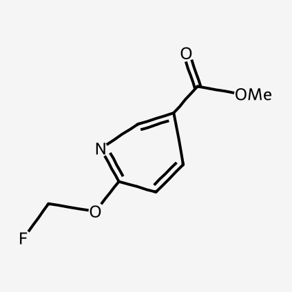 COC(=O)c1ccc(OCF)nc1